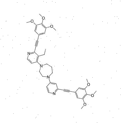 CCc1c(N2CCCN(c3ccnc(C#Cc4cc(OC)c(OC)c(OC)c4)c3)CC2)ccnc1C#Cc1cc(OC)c(OC)c(OC)c1